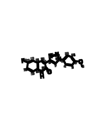 COc1ccc(-n2cc(-c3cc4cc(F)ccc4[nH]c3=O)nn2)cc1